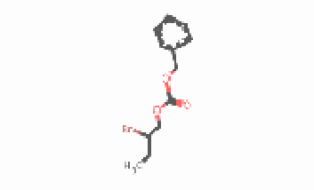 CCC(Br)COC(=O)OCc1ccccc1